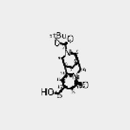 CC(C)(C)OC(=O)N1CC2CC(C1)c1cc(CO)cc(=O)n1C2